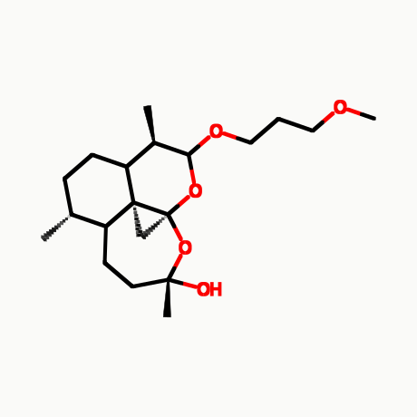 COCCCOC1O[C@]23C[C@]24C(CC[C@@H](C)C4CC[C@@](C)(O)O3)[C@H]1C